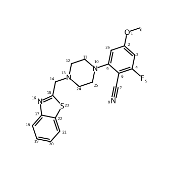 COc1cc(F)c(C#N)c(N2CCN(Cc3nc4ccccc4s3)CC2)c1